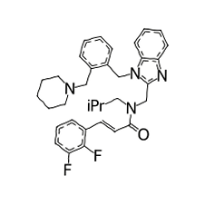 CC(C)CN(Cc1nc2ccccc2n1Cc1ccccc1CN1CCCCC1)C(=O)/C=C/c1cccc(F)c1F